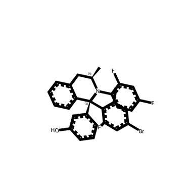 C[C@@H]1Cc2ccccc2[C@@](c2cccc(O)c2)(c2c(F)cc(Br)cc2F)N1c1ccc(F)cc1F